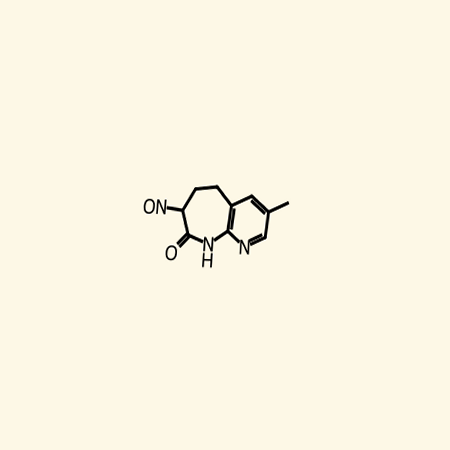 Cc1cnc2c(c1)CCC(N=O)C(=O)N2